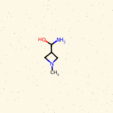 CN1CC(C(N)O)C1